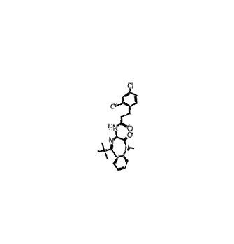 CN1C(=O)C(NC(=O)CCc2ccc(Cl)cc2Cl)N=C(C(C)(C)C)c2ccccc21